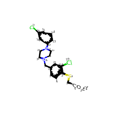 CCOC(=O)CSc1ccc(CN2CCN(c3cccc(Cl)c3)CC2)cc1Cl